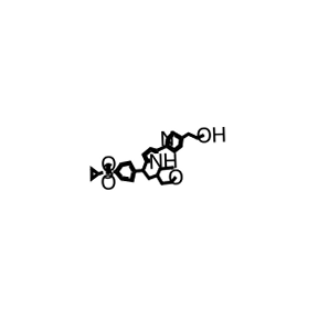 O=S(=O)(c1ccc(C(CC2CCOCC2)c2ccc(-c3ccc(CCO)cn3)[nH]2)cc1)C1CC1